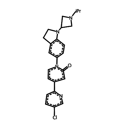 CC(C)N1CC(N2CCc3cc(-n4ccc(-c5ccc(Cl)cn5)cc4=O)ccc32)C1